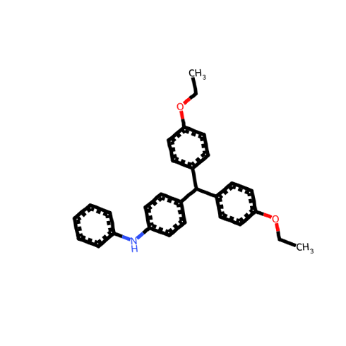 CCOc1ccc(C(c2ccc(Nc3ccccc3)cc2)c2ccc(OCC)cc2)cc1